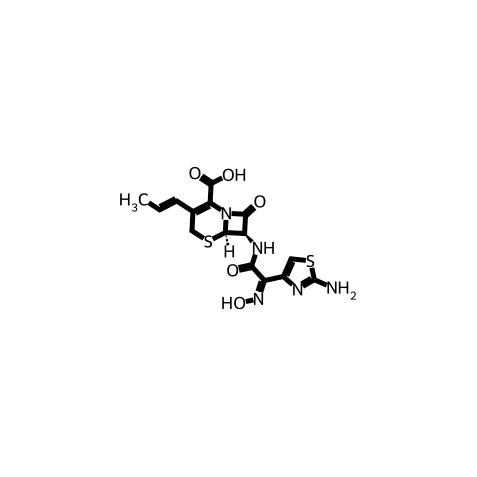 C/C=C/C1=C(C(=O)O)N2C(=O)[C@@H](NC(=O)/C(=N\O)c3csc(N)n3)[C@H]2SC1